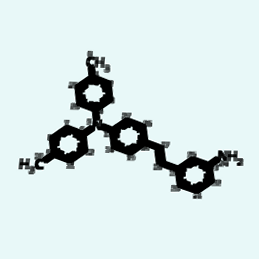 Cc1ccc(N(c2ccc(C)cc2)c2ccc(C=Cc3cccc(N)c3)cc2)cc1